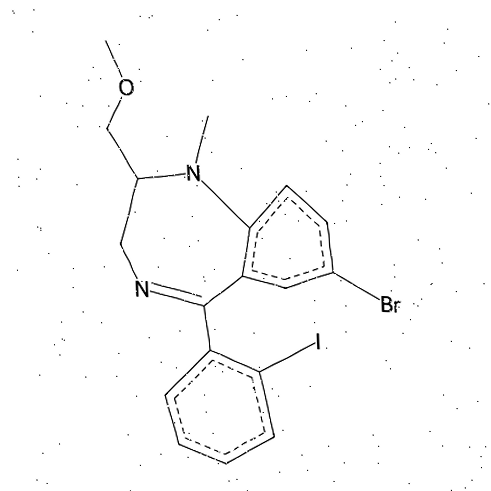 COCC1CN=C(c2ccccc2I)c2cc(Br)ccc2N1C